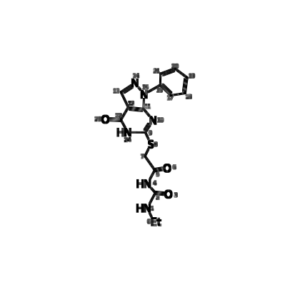 CCNC(=O)NC(=O)CSc1nc2c(cnn2-c2ccccc2)c(=O)[nH]1